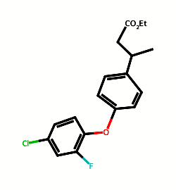 CCOC(=O)CC(C)c1ccc(Oc2ccc(Cl)cc2F)cc1